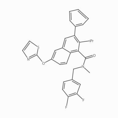 CC(C)c1c(-c2ccccc2)cc2cc(Oc3nccs3)ccc2c1C(=O)N(C)Cc1ccc(F)c(F)c1